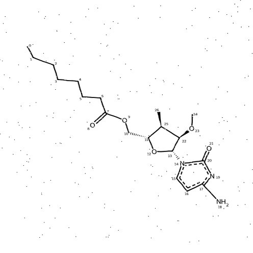 CCCCCCCC(=O)OC[C@H]1O[C@@H](n2ccc(N)nc2=O)[C@H](OC)[C@@H]1C